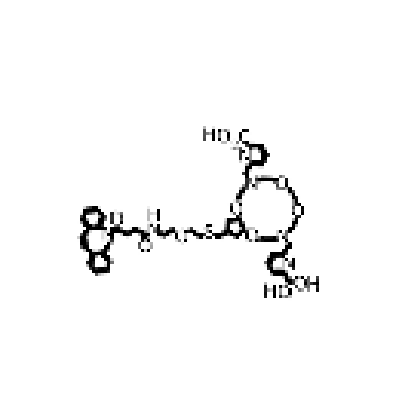 O=C(CCC(=O)N1Cc2ccccc2C#Cc2ccccc21)NCCOCCSCC1CC2OCCN(Cc3cccc(C(=O)O)n3)CCOCCOCCN(Cc3cccc(C(O)O)n3)CCOC2C1